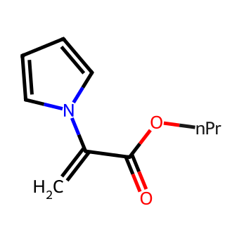 C=C(C(=O)OCCC)n1cccc1